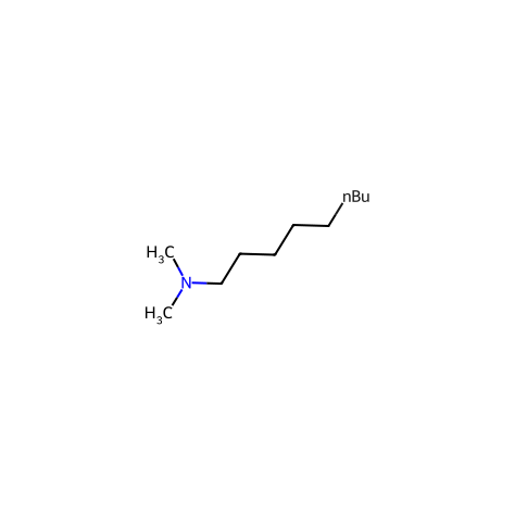 CCCCCCCCCN(C)C